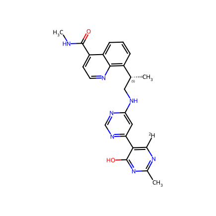 [2H]c1nc(C)nc(O)c1-c1cc(NC[C@@H](C)c2cccc3c(C(=O)NC)ccnc23)ncn1